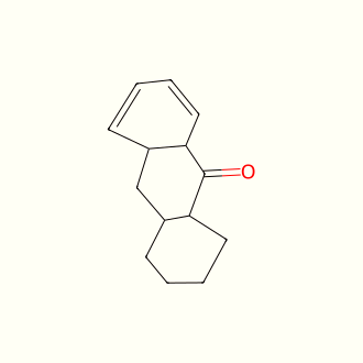 O=C1C2C=CC=CC2CC2CCCCC12